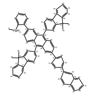 C[SiH2]c1ccccc1-c1ccc2c(-c3ccc4c(c3)C(C)(C)c3ccccc3-4)c3cc(-c4ccc(-c5ccc6ccccc6c5)cc4)ccc3c(-c3ccc4c(c3)C(C)(C)c3ccccc3-4)c2c1